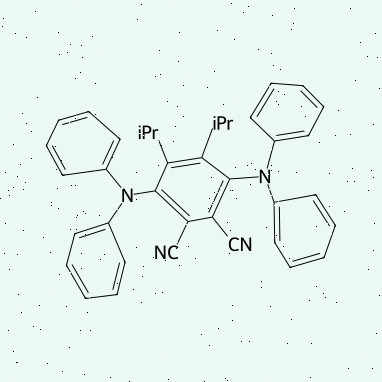 CC(C)c1c(C(C)C)c(N(c2ccccc2)c2ccccc2)c(C#N)c(C#N)c1N(c1ccccc1)c1ccccc1